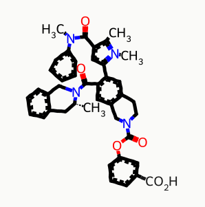 Cc1c(C(=O)N(C)c2ccccc2)cc(-c2cc3c(cc2C(=O)N2Cc4ccccc4C[C@H]2C)CN(C(=O)Oc2cccc(C(=O)O)c2)CC3)n1C